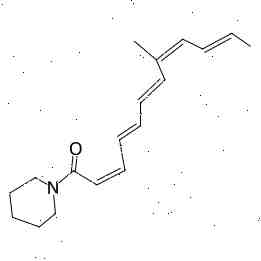 C/C=C/C=C(C)\C=C\C=C\C=C/C(=O)N1CCCCC1